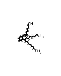 CCCCCCCCCC(c1ccccc1O)C(CCCCCCC)CCCCCCCC